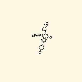 CCCCCn1c(N2CCC3(COC3)C2)cc(=O)n2cc(-c3ccc(Cl)cc3)nc12